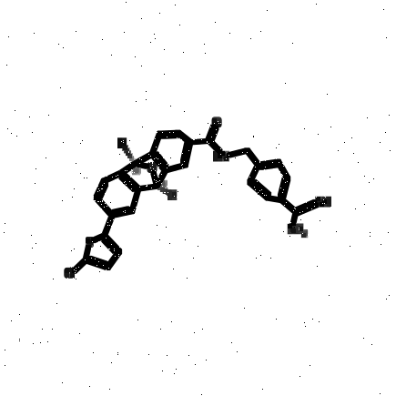 N=C(N)c1ccc(CNC(=O)c2ccc3c(c2)[C@@H]2O[C@H]3c3ccc(-c4ccc(Cl)s4)cc32)cc1